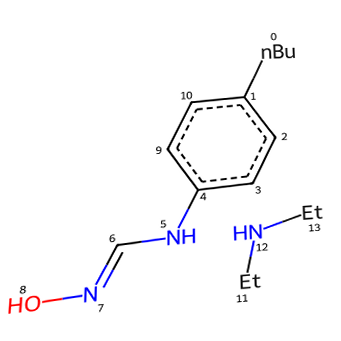 CCCCc1ccc(NC=NO)cc1.CCNCC